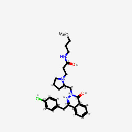 COCCCNC(=O)CCN1CCCC1Cn1nc(Cc2ccc(Cl)cc2)c2ccccc2c1=O